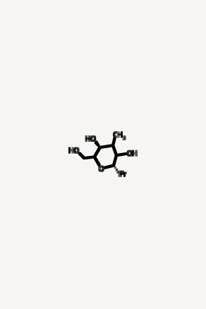 CC1C(O)[C@H](C(C)C)OC(CO)[C@H]1O